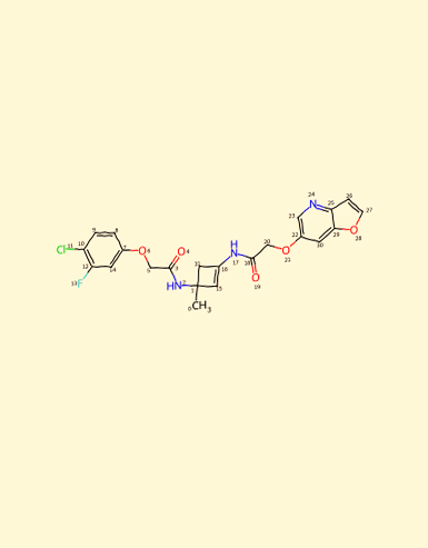 CC1(NC(=O)COc2ccc(Cl)c(F)c2)C=C(NC(=O)COc2cnc3ccoc3c2)C1